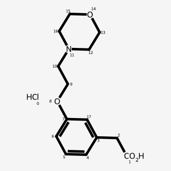 Cl.O=C(O)Cc1cccc(OCCN2CCOCC2)c1